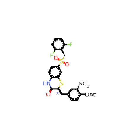 CC(=O)Oc1ccc(/C=C2\Sc3cc(S(=O)(=O)Cc4c(F)cccc4F)ccc3NC2=O)cc1[N+](=O)[O-]